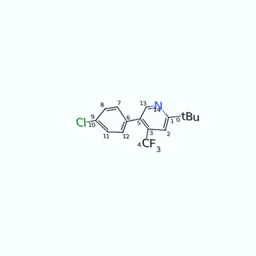 CC(C)(C)c1cc(C(F)(F)F)c(-c2ccc(Cl)cc2)cn1